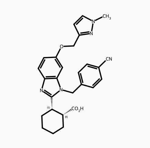 Cn1ccc(COc2ccc3nc([C@H]4CCCC[C@H]4C(=O)O)n(Cc4ccc(C#N)cc4)c3c2)n1